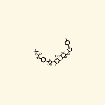 Cc1ccc(N2CCC(NC(=O)NC(Cc3ccc(-c4noc(-c5ccc(NC(=O)OC(C)(C)C)cc5)n4)c(F)c3)C(=O)O)C2)cc1